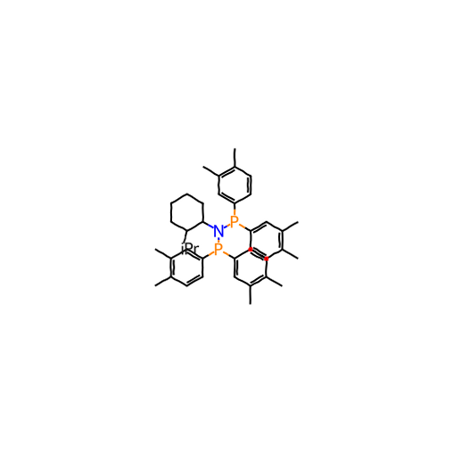 Cc1ccc(P(c2ccc(C)c(C)c2)N(C2CCCCC2C(C)C)P(c2ccc(C)c(C)c2)c2ccc(C)c(C)c2)cc1C